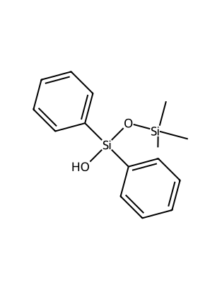 C[Si](C)(C)O[Si](O)(c1ccccc1)c1ccccc1